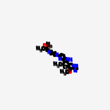 COc1cc(-c2[nH]c3ccc(N4CC5(CN(CC(C)(C)O)C5)C4)nc3c2C(C)C)cn2ncnc12